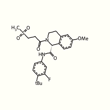 COc1ccc2c(c1)CCN(C(=O)CCS(C)(=O)=O)[C@H]2C(=O)Nc1ccc(C(C)(C)C)c(F)c1